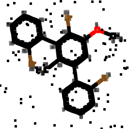 COc1cc(-c2ccccc2Br)c(C)c(-c2ccccc2Br)c1Br